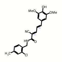 COc1cc(/C=C/C=C(\C#N)C(=O)NCc2ccc(C)cc2Cl)cc(OC)c1O